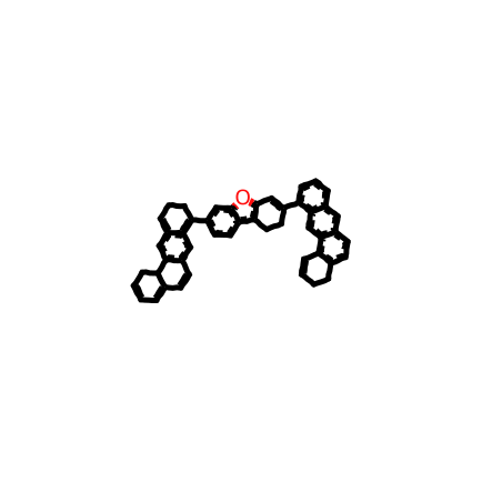 C1=CCC2C(=C1)C=Cc1cc3c(cc12)=CCCC=3c1ccc2c3c(oc2c1)C=C(c1cccc2cc4ccc5c(c4cc12)C=CCC5)CC3